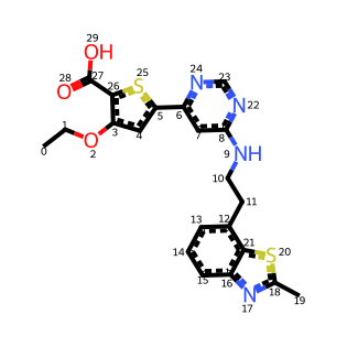 CCOc1cc(-c2cc(NCCc3cccc4nc(C)sc34)ncn2)sc1C(=O)O